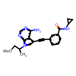 COCC(C)n1cc(C#Cc2cccc(C(=O)NC3CC3)c2)c2c(N)ncnc21